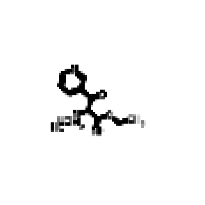 CCOC(=N)C(N)C(=O)c1cccnc1.Cl.Cl